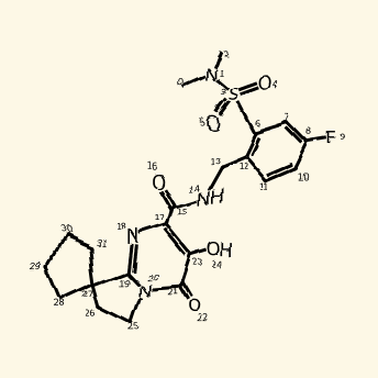 CN(C)S(=O)(=O)c1cc(F)ccc1CNC(=O)c1nc2n(c(=O)c1O)CCC21CCCC1